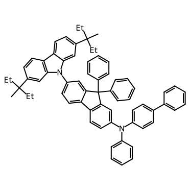 CCC(C)(CC)c1ccc2c3ccc(C(C)(CC)CC)cc3n(-c3ccc4c(c3)C(c3ccccc3)(c3ccccc3)c3cc(N(c5ccccc5)c5ccc(-c6ccccc6)cc5)ccc3-4)c2c1